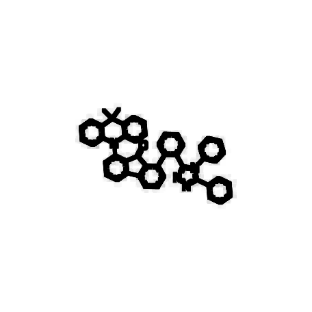 CC1(C)c2ccccc2N(c2cccc3c2C(=O)c2c(-c4ccccc4-c4nnc(-c5ccccc5)n4-c4ccccc4)cccc2-3)c2ccccc21